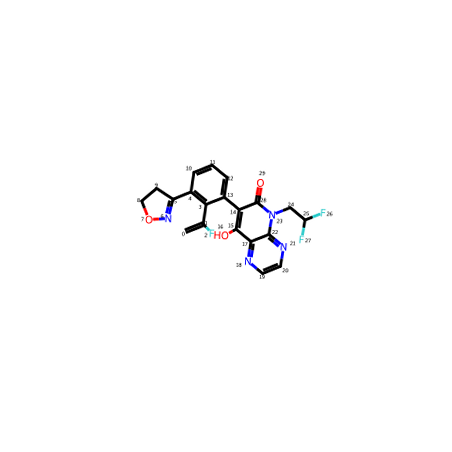 C=C(F)c1c(C2=NOCC2)cccc1-c1c(O)c2nccnc2n(CC(F)F)c1=O